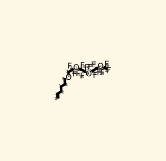 C=CCCCCOCC(F)(F)OC(F)(F)C(F)(F)OC(F)(F)C(F)(F)OC(F)(F)F